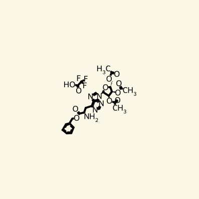 CC(=O)OC[C@H]1O[C@H](n2cnc3c(CC(N)C(=O)OCc4ccccc4)ncnc32)[C@H](OC(C)=O)[C@@H]1OC(C)=O.O=C(O)C(F)(F)F